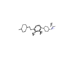 C/C(F)=C/C1CCC(c2ccc(CCC3CCC(C)CC3)c(F)c2F)CC1